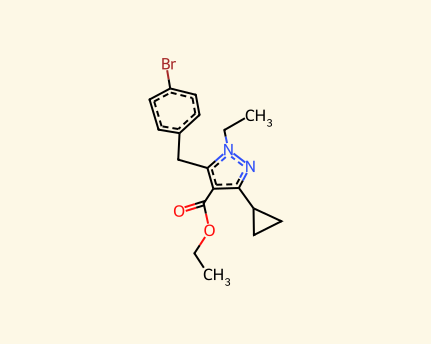 CCOC(=O)c1c(C2CC2)nn(CC)c1Cc1ccc(Br)cc1